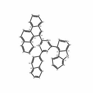 c1ccc2cc(-c3nc(-c4cncc5oc6ccccc6c45)nc(-c4cc5ccccc5c5ccc6ccccc6c45)n3)ccc2c1